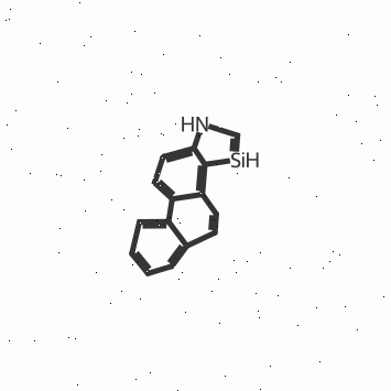 c1ccc2c(c1)ccc1c2ccc2[nH]c[siH]c21